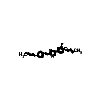 CCCCC[C@H]1CC[C@H](CCc2ncc(-c3ccc(OCCCC)c(F)c3)cn2)CC1